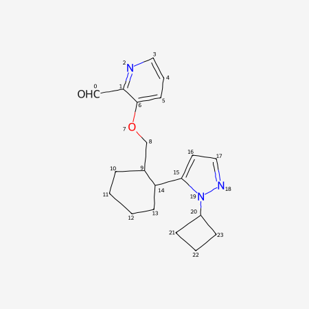 O=Cc1ncccc1OCC1CCCCC1c1ccnn1C1CCC1